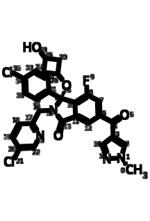 Cn1cc(C(=O)c2cc(F)c3c(c2)C(=O)N(Cc2ccc(Cl)cn2)[C@@]3(OC2CC(O)C2)c2ccc(Cl)cc2)cn1